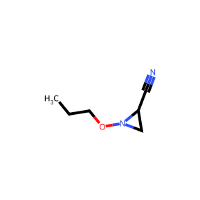 CCCON1CC1C#N